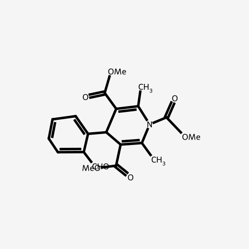 COC(=O)C1=C(C)N(C(=O)OC)C(C)=C(C(=O)OC)C1c1ccccc1C=O